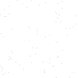 Cc1cc(O)c(B(O)O)c(Cl)c1